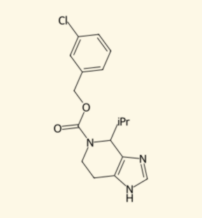 CC(C)C1c2nc[nH]c2CCN1C(=O)OCc1cccc(Cl)c1